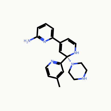 Cc1ccnc([C@@]2(N3CCNCC3)C=C(c3cccc(N)n3)C=CN2)c1